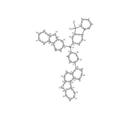 CC1(C)c2ccccc2-c2ccc(N(c3ccc(-c4cccc5c4ccc4sc6ccccc6c45)cc3)c3ccc4c(c3)sc3ccccc34)cc21